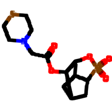 O=C(CN1CCSCC1)OC1C2CC3C1OS(=O)(=O)C3C2